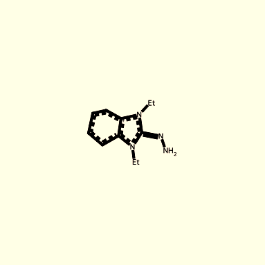 CCn1c(=NN)n(CC)c2ccccc21